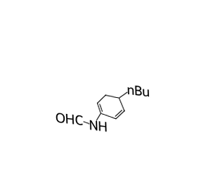 CCCCC1C=CC(NC=O)=CC1